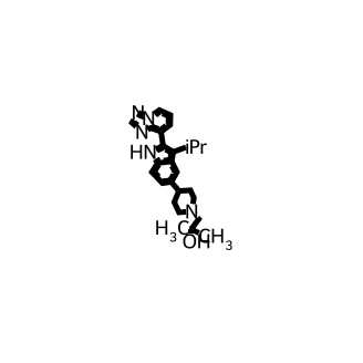 CC(C)c1c(-c2cccn3ncnc23)[nH]c2ccc(C3CCN(CC(C)(C)O)CC3)cc12